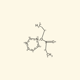 CCOC(=O)CC.c1cncnc1